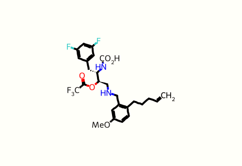 C=CCCCc1ccc(OC)cc1CNC[C@@H](OC(=O)C(F)(F)F)[C@H](Cc1cc(F)cc(F)c1)NC(=O)O